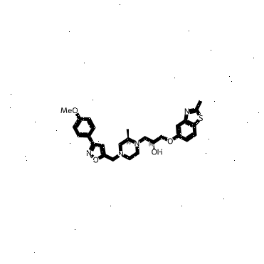 COc1ccc(-c2cc(CN3CCN(C[C@@H](O)COc4ccc5sc(C)nc5c4)[C@H](C)C3)on2)cc1